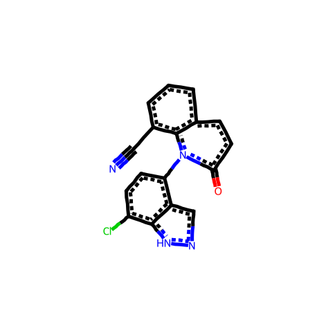 N#Cc1cccc2ccc(=O)n(-c3ccc(Cl)c4[nH]ncc34)c12